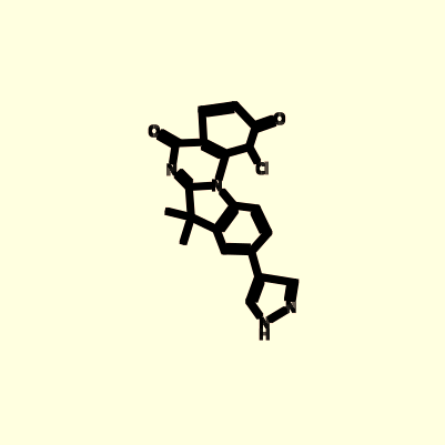 CC1(C)c2cc(-c3cn[nH]c3)ccc2-n2c1nc(=O)c1c2C(Cl)C(=O)C=C1